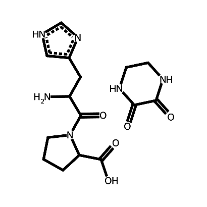 NC(Cc1c[nH]cn1)C(=O)N1CCCC1C(=O)O.O=C1NCCNC1=O